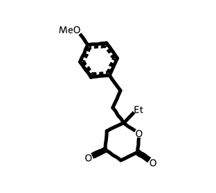 CCC1(CCc2ccc(OC)cc2)CC(=O)CC(=O)O1